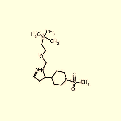 C[Si](C)(C)CCOCN1N=CCC1C1CCN(S(C)(=O)=O)CC1